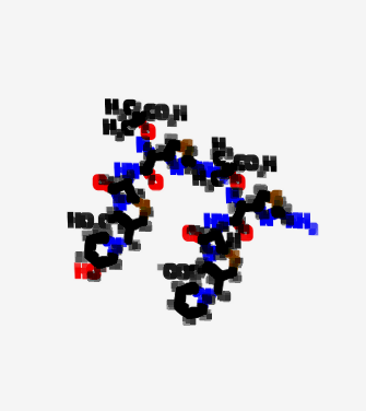 CC(C)(ON=C(C(=O)NC1C(=O)N2C(C(=O)O)=C(C[n+]3ccccc3)CSC12)c1csc(N)n1)C(=O)O.CC(C)(ON=C(C(=O)N[C@@H]1C(=O)N2C(C(=O)[O-])=C(C[n+]3ccccc3)CS[C@H]12)c1csc(N)n1)C(=O)O.[OH-]